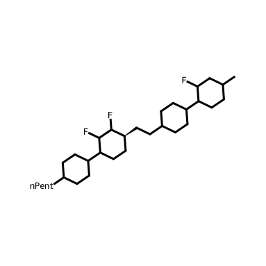 CCCCCC1CCC(C2CC[C@H](CCC3CCC(C4CCC(C)CC4F)CC3)C(F)C2F)CC1